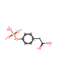 O=C(O)Cc1ccc(OS(=O)(=O)O)cc1